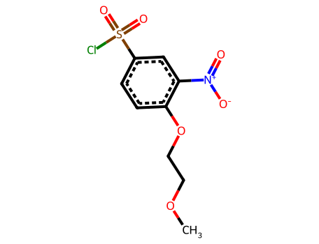 COCCOc1ccc(S(=O)(=O)Cl)cc1[N+](=O)[O-]